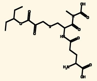 CCC(CC)OC(=O)C(=O)CSCC(NC(=O)CCC(N)C(=O)O)C(=O)N(C)C(=O)O